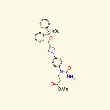 COC(=O)CCN(C(N)=O)c1ccc(N2CC(CO[Si](c3ccccc3)(c3ccccc3)C(C)(C)C)C2)cc1